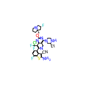 CCC1CN(c2nc(OC[C@@]34CCCN3C[C@H](F)C4)nc3c(C(F)(F)Cl)c(-c4ccc(F)c5sc(N)c(C#N)c45)ncc23)CCN1